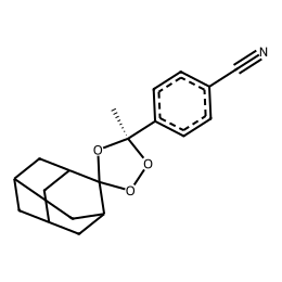 C[C@]1(c2ccc(C#N)cc2)OOC2(O1)C1CC3CC(C1)CC2C3